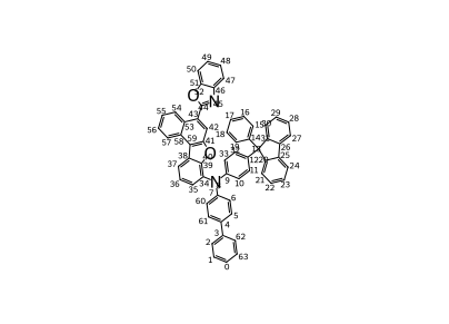 c1ccc(-c2ccc(N(c3ccc(C4(c5ccccc5)c5ccccc5-c5ccccc54)cc3)c3cccc4c3oc3cc(-c5nc6ccccc6o5)c5ccccc5c34)cc2)cc1